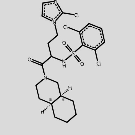 O=C(C(CCn1ccnc1Cl)NS(=O)(=O)c1c(Cl)cccc1Cl)N1CC[C@@H]2CCCC[C@@H]2C1